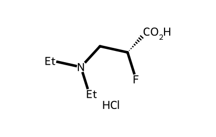 CCN(CC)C[C@@H](F)C(=O)O.Cl